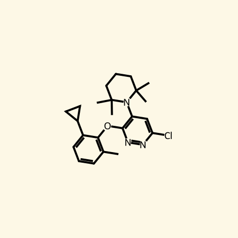 Cc1cccc(C2CC2)c1Oc1nnc(Cl)cc1N1C(C)(C)CCCC1(C)C